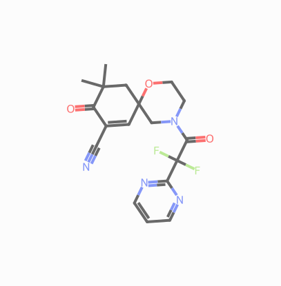 CC1(C)CC2(C=C(C#N)C1=O)CN(C(=O)C(F)(F)c1ncccn1)CCO2